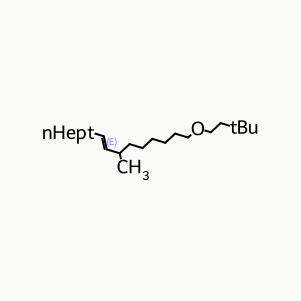 CCCCCCC/C=C/C(C)CCCCCCOCCC(C)(C)C